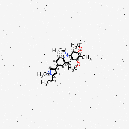 C=CN(c1cc(OC)c(C)c(OC)c1)c1ccc(-c2cc(CC)n(C)c2)cc1C